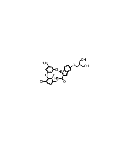 Nc1cc(Cl)cc(Oc2c(Cl)ccc(CNC(=O)c3cc4cc(OCC(CO)CO)ccc4[nH]3)c2F)c1